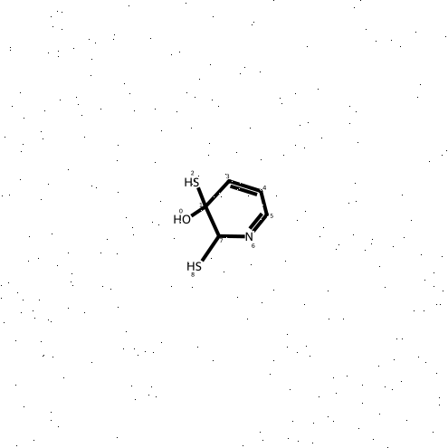 OC1(S)C=CC=NC1S